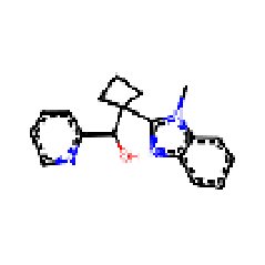 Cn1c(C2(C(O)c3ccccn3)CCC2)nc2ccccc21